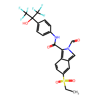 CCS(=O)(=O)c1ccc2c(C(=O)Nc3ccc(C(O)(C(F)(F)F)C(F)(F)F)cc3)n(C=O)cc2c1